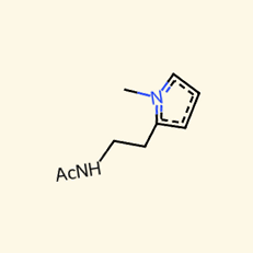 CC(=O)NCCc1cccn1C